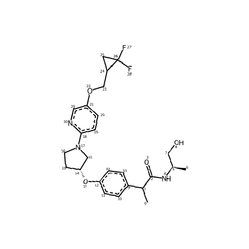 CC(C(=O)N[C@H](C)CO)c1ccc(O[C@@H]2CCN(c3ccc(OCC4CC4(F)F)cn3)C2)cc1